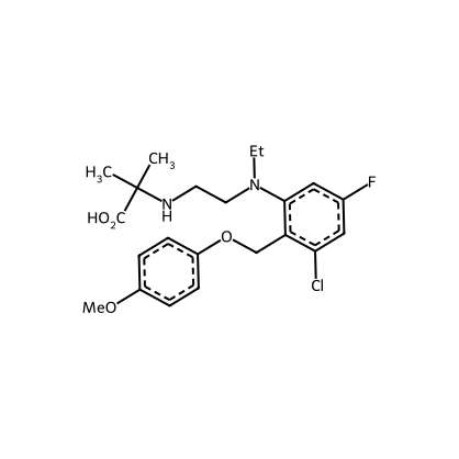 CCN(CCNC(C)(C)C(=O)O)c1cc(F)cc(Cl)c1COc1ccc(OC)cc1